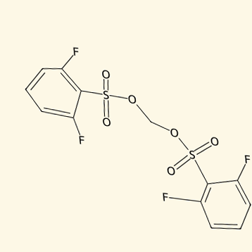 O=S(=O)(OCOS(=O)(=O)c1c(F)cccc1F)c1c(F)cccc1F